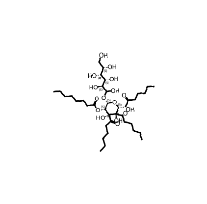 CCCCCCCC(=O)O[C@@H]1[C@H](OC(O)[C@@H](O)[C@@H](O)[C@H](O)[C@@H](O)CO)O[C@H](C(O)C(=O)CCCCC)[C@](O)(C(=O)CCCCC)[C@@]1(O)C(=O)CCCCC